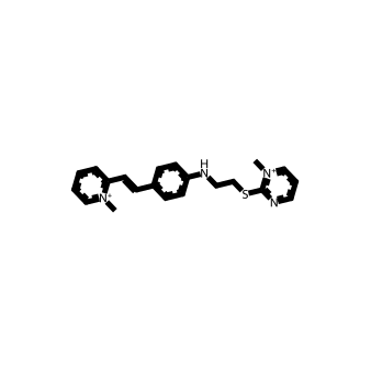 C[n+]1ccccc1/C=C/c1ccc(NCCSc2nccc[n+]2C)cc1